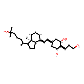 CC(CCCC(C)(C)O)C1CCC2/C(=C/C=C3C[C@@H](O)C(=CCCO)[C@H](O)C3)CCC[C@@]21C